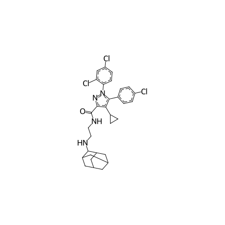 O=C(NCCNC1C2CC3CC(C2)CC1C3)c1nn(-c2ccc(Cl)cc2Cl)c(-c2ccc(Cl)cc2)c1C1CC1